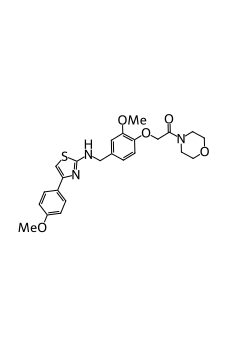 COc1ccc(-c2csc(NCc3ccc(OCC(=O)N4CCOCC4)c(OC)c3)n2)cc1